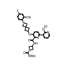 CCOc1ncccc1-c1ccc(OC2CC3(C2)CN(c2ccc(F)cc2C#N)C3)c(C(=O)NC2CN(C(=O)NC)C2)n1